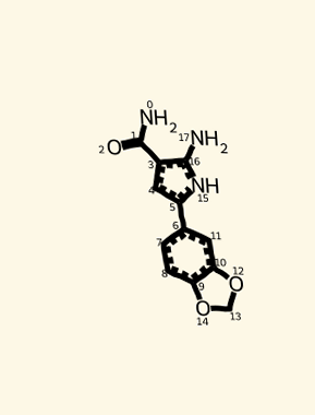 NC(=O)c1cc(-c2ccc3c(c2)OCO3)[nH]c1N